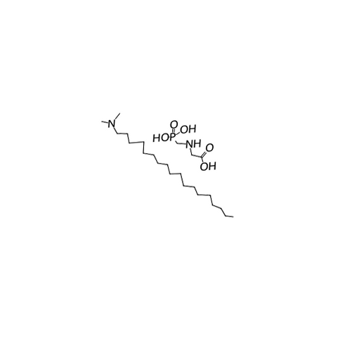 CCCCCCCCCCCCCCCCCCN(C)C.O=C(O)CNCP(=O)(O)O